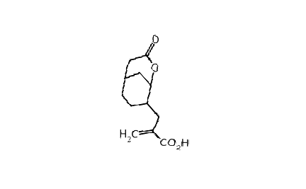 C=C(CC1CCC2CC(=O)OC1C2)C(=O)O